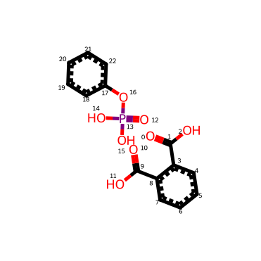 O=C(O)c1ccccc1C(=O)O.O=P(O)(O)Oc1ccccc1